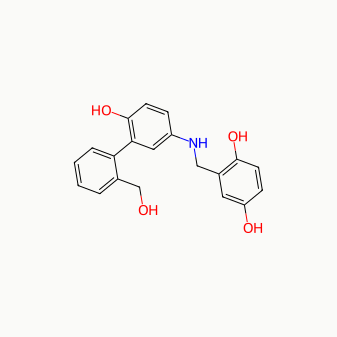 OCc1ccccc1-c1cc(NCc2cc(O)ccc2O)ccc1O